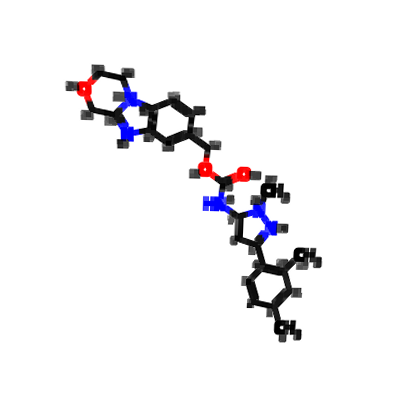 Cc1ccc(-c2cc(NC(=O)OCc3ccc4c(c3)nc3n4CCOC3)n(C)n2)c(C)c1